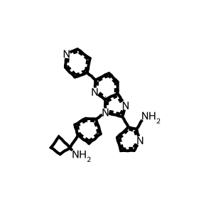 Nc1ncccc1-c1nc2ccc(-c3ccncc3)nc2n1-c1ccc(C2(N)CCC2)cc1